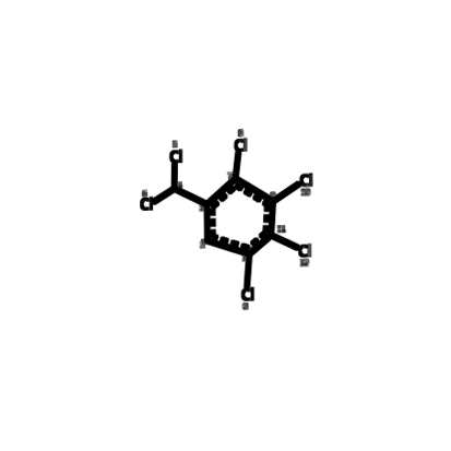 Clc1[c]c(C(Cl)Cl)c(Cl)c(Cl)c1Cl